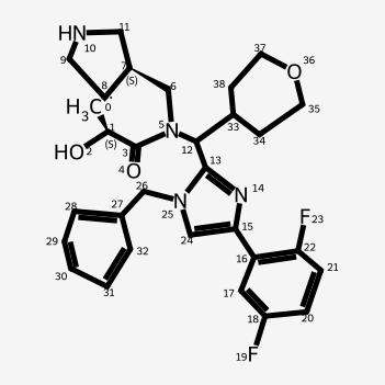 C[C@H](O)C(=O)N(C[C@H]1[CH]CNC1)C(c1nc(-c2cc(F)ccc2F)cn1Cc1ccccc1)C1CCOCC1